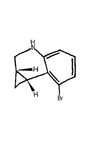 Brc1cccc2c1[C@@H]1C[C@@H]1CN2